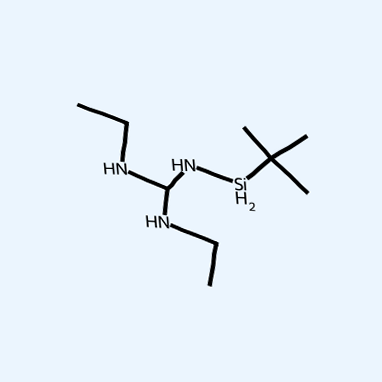 CCNC(NCC)N[SiH2]C(C)(C)C